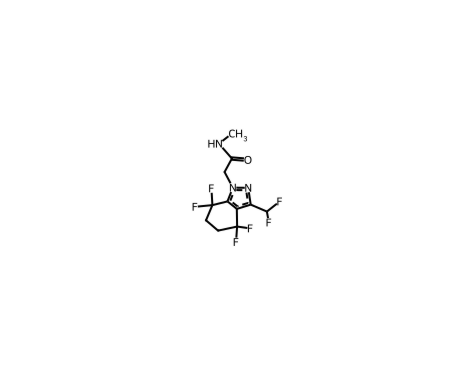 CNC(=O)Cn1nc(C(F)F)c2c1C(F)(F)CCC2(F)F